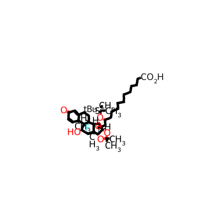 CC1(C)O[C@@H]2C[C@H]3[C@@H]4CCC5=CC(=O)C=C[C@]5(C)C4(F)[C@@H](O)C[C@]3(C)[C@]2(C(=O)CC(CCCCCCCCCCC(=O)O)O[Si](C)(C)C(C)(C)C)O1